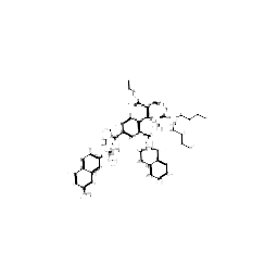 CCCCN(CCCC)c1ncc(C(=O)OCC)c(-c2ccc(C(=O)NS(=O)(=O)c3ccc4ccc(Cl)cc4c3)cc2C(=O)N2CCc3ccccc3C2)n1